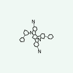 N#Cc1ccc2c3c4c5ccc(-c6ccccc6)cc5n5c6cc(C#N)ccc6c(cc3n(-c3cccc(-c6ccccc6)c3)c2c1)c45